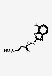 O=C(O)CCC(=O)OSc1nc2cccc(O)c2s1